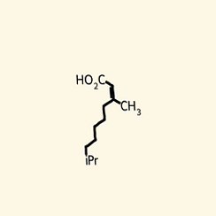 CC(=CC(=O)O)CCCCCC(C)C